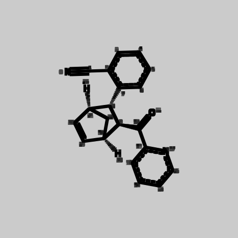 N#Cc1ccccc1[C@@H]1[C@@H](C(=O)c2ccccn2)[C@H]2C=C[C@@H]1C2